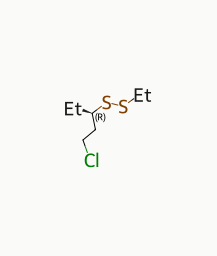 CCSS[C@H](CC)CCCl